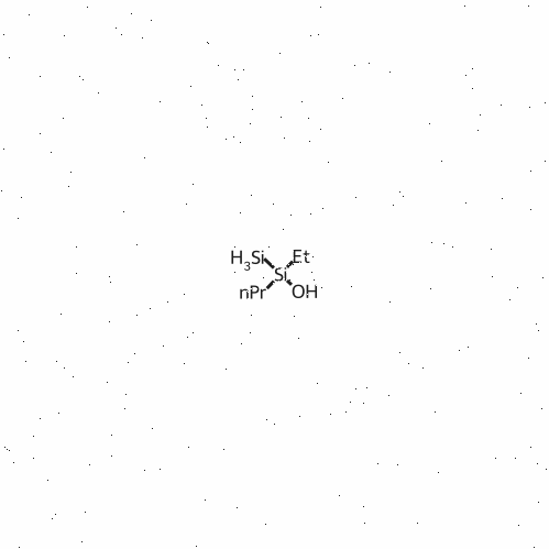 CCC[Si](O)([SiH3])CC